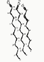 CCCCCCC=CC=O.CCCCCCCCCC=O.CCCCCCCCCCC=O